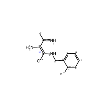 CC(=N)/C(N)=C(/Cl)NCc1ccccc1F